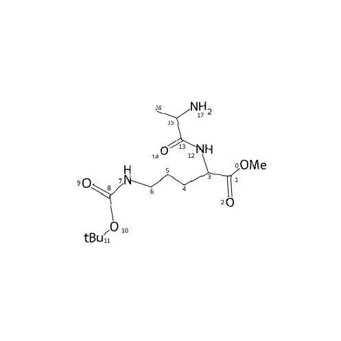 COC(=O)C(CCCNC(=O)OC(C)(C)C)NC(=O)C(C)N